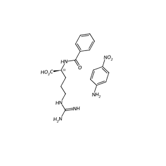 N=C(N)NCCC[C@H](NC(=O)c1ccccc1)C(=O)O.Nc1ccc([N+](=O)[O-])cc1